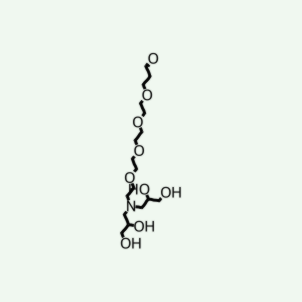 O=CCCOCCOCCOCCOCCN(CC(O)CO)CC(O)CO